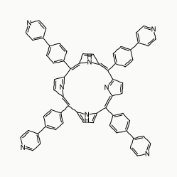 C1=Cc2nc1c(-c1ccc(-c3ccncc3)cc1)c1ccc([nH]1)c(-c1ccc(-c3ccncc3)cc1)c1nc(c(-c3ccc(-c4ccncc4)cc3)c3ccc([nH]3)c2-c2ccc(-c3ccncc3)cc2)C=C1